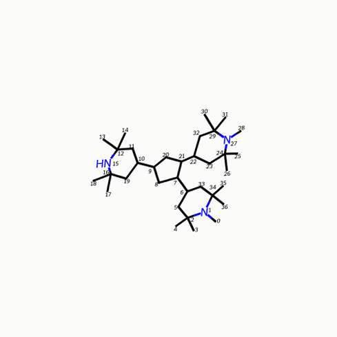 CN1C(C)(C)CC(C2CC(C3CC(C)(C)NC(C)(C)C3)CC2C2CC(C)(C)N(C)C(C)(C)C2)CC1(C)C